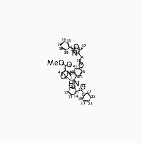 COC(=O)c1coc(CC(Nc2ccccc2C(=O)c2ccccc2)c2ccc(OCCc3nc(-c4ccccc4)oc3C)cc2)n1